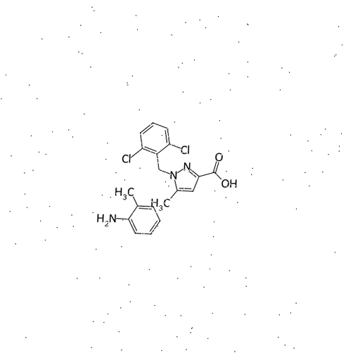 Cc1cc(C(=O)O)nn1Cc1c(Cl)cccc1Cl.Cc1ccccc1N